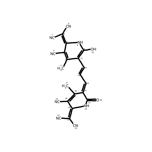 CC1=C(C#N)C(=C(C#N)C#N)NC(O)=C1C=CC=c1c(C)c(C#N)c(=C(C#N)C#N)[nH]c1=O